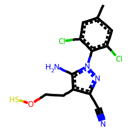 Cc1cc(Cl)c(-n2nc(C#N)c(CCOS)c2N)c(Cl)c1